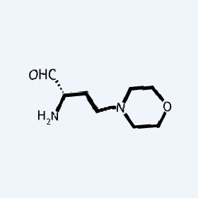 N[C@H](C=O)CCN1CCOCC1